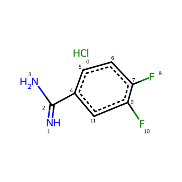 Cl.N=C(N)c1ccc(F)c(F)c1